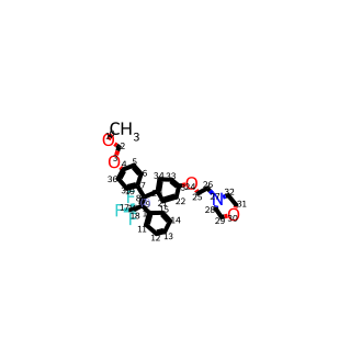 COCOc1ccc(/C(=C(/c2ccccc2)C(F)(F)F)c2ccc(OCCN3CCOCC3)cc2)cc1